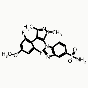 COc1cc(F)c(-c2c(C)nn(C)c2-n2cnc3cc(S(N)(=O)=O)ccc32)c(F)c1